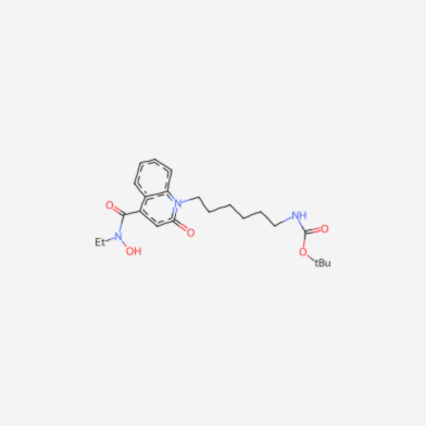 CCN(O)C(=O)c1cc(=O)n(CCCCCCNC(=O)OC(C)(C)C)c2ccccc12